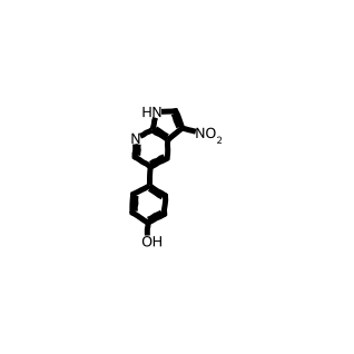 O=[N+]([O-])c1c[nH]c2ncc(-c3ccc(O)cc3)cc12